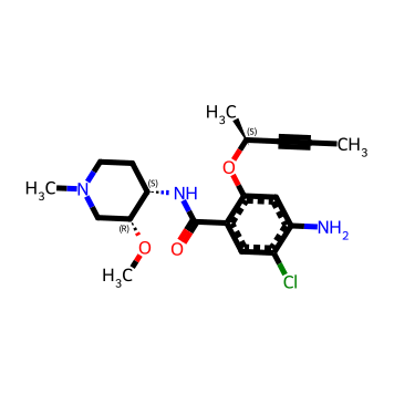 CC#C[C@H](C)Oc1cc(N)c(Cl)cc1C(=O)N[C@H]1CCN(C)C[C@H]1OC